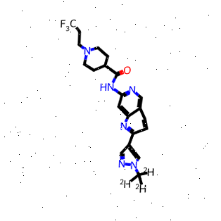 [2H]C([2H])([2H])n1cc(-c2ccc3cnc(NC(=O)C4CCN(CCC(F)(F)F)CC4)cc3n2)cn1